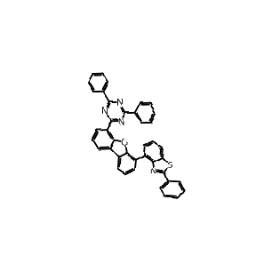 c1ccc(-c2nc(-c3ccccc3)nc(-c3cccc4c3oc3c(-c5cccc6sc(-c7ccccc7)nc56)cccc34)n2)cc1